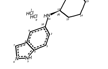 Cl.Cl.c1cc2[nH]ncc2cc1N[C@@H]1CCCNC1